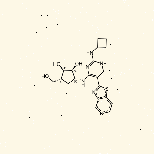 OC[C@H]1C[C@@H](NC2=C(c3nc4cnccc4s3)CNC(NC3CCC3)=N2)[C@H](O)[C@@H]1O